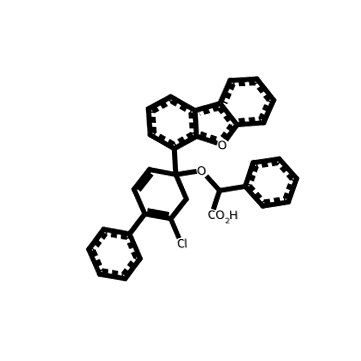 O=C(O)C(OC1(c2cccc3c2oc2ccccc23)C=CC(c2ccccc2)=C(Cl)C1)c1ccccc1